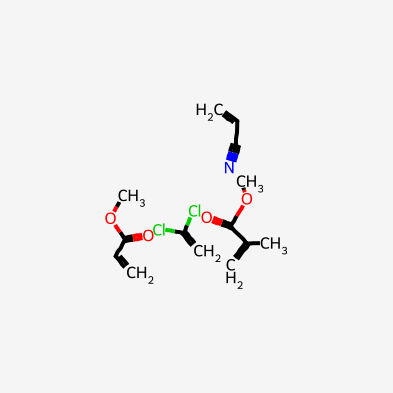 C=C(C)C(=O)OC.C=C(Cl)Cl.C=CC#N.C=CC(=O)OC